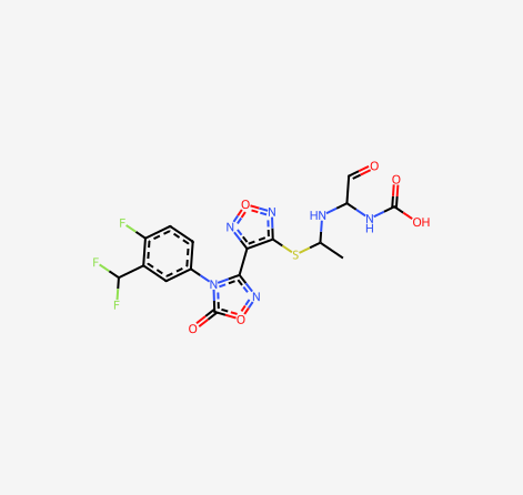 CC(NC(C=O)NC(=O)O)Sc1nonc1-c1noc(=O)n1-c1ccc(F)c(C(F)F)c1